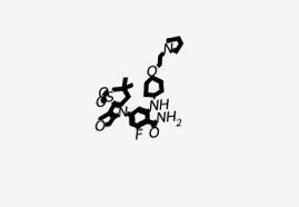 CC1(C)Cc2c(c3c(n2-c2cc(F)c(C(N)=O)c(N[C@H]4CC[C@H](OCCN5CCCC5)CC4)c2)COC3)S(=O)(=O)C1